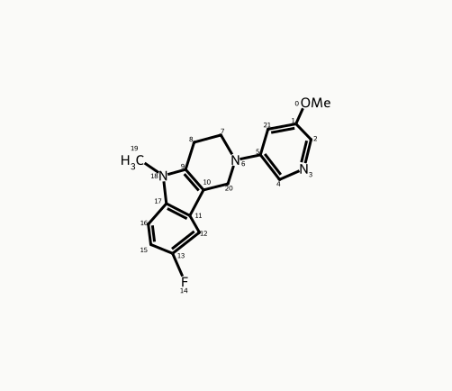 COc1cncc(N2CCc3c(c4cc(F)ccc4n3C)C2)c1